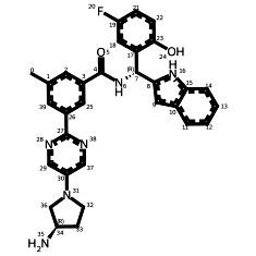 Cc1cc(C(=O)N[C@@H](c2cc3ccccc3[nH]2)c2cc(F)ccc2O)cc(-c2ncc(N3CC[C@@H](N)C3)cn2)c1